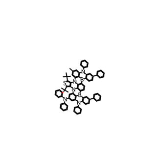 Cc1cc2c3c(c1)N1c4c(ccc5c4N(c4cc(N(c6ccccc6)c6ccccc6)cc6c4B5c4cc(-c5ccccc5)ccc4N6c4ccccc4)c4c(C(C)(C)C)sc(C(C)(C)C)c41)B3c1ccc(-c3ccccc3)cc1N2c1ccccc1